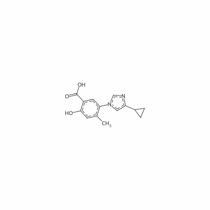 Cc1cc(O)c(C(=O)O)cc1-n1cnc(C2CC2)c1